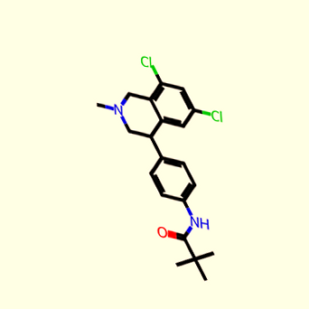 CN1Cc2c(Cl)cc(Cl)cc2C(c2ccc(NC(=O)C(C)(C)C)cc2)C1